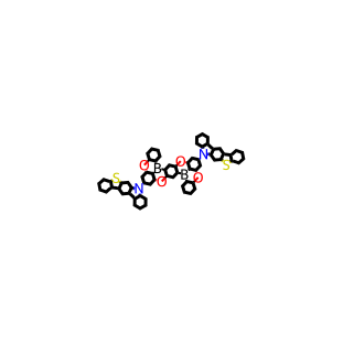 c1ccc2c(c1)Oc1cc(-n3c4ccccc4c4cc5c(cc43)sc3ccccc35)cc3c1B2c1cc2c(cc1O3)B1c3ccccc3Oc3cc(-n4c5ccccc5c5cc6c(cc54)sc4ccccc46)cc(c31)O2